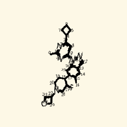 Cc1nc(C2CCC2)cc(-n2ncc3cc(C)c(C4CCN(C5COC5)CC4F)cc32)n1